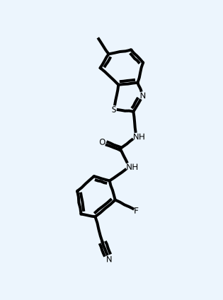 Cc1ccc2nc(NC(=O)Nc3cccc(C#N)c3F)sc2c1